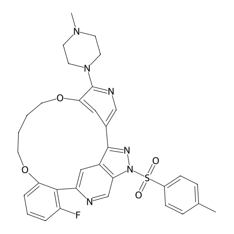 Cc1ccc(S(=O)(=O)n2nc3c4cc(ncc42)-c2c(F)cccc2OCCCCOc2cc-3cnc2N2CCN(C)CC2)cc1